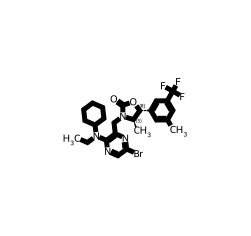 CCN(c1ncc(Br)nc1CN1C(=O)O[C@H](c2cc(C)cc(C(F)(F)F)c2)[C@@H]1C)C1CCCCC1